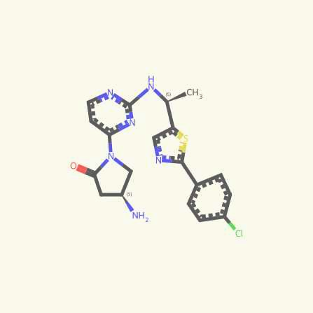 C[C@H](Nc1nccc(N2C[C@@H](N)CC2=O)n1)c1cnc(-c2ccc(Cl)cc2)s1